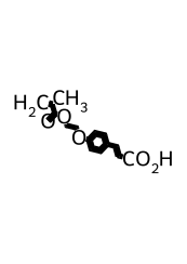 C=C(C)C(=O)OCCOc1ccc(C=CC(=O)O)cc1